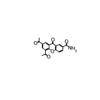 CC(=O)c1cc(C(C)=O)c2oc3ccc(C(N)=O)cc3c(=O)c2c1